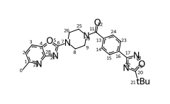 Cc1ccc2oc(N3CCN(C(=O)c4ccc(-c5noc(C(C)(C)C)n5)cc4)CC3)nc2n1